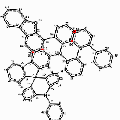 c1ccc(-c2ccccc2-c2ccccc2N(c2ccc3c(c2)C2(c4ccccc4-3)c3ccccc3N(c3ccccc3)c3ccccc32)c2ccccc2-c2cccc3c2oc2ccccc23)cc1